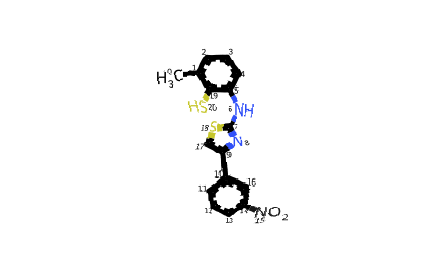 Cc1cccc(Nc2nc(-c3cccc([N+](=O)[O-])c3)cs2)c1S